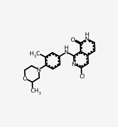 Cc1cc(Nc2nc(Cl)cc3cc[nH]c(=O)c23)ccc1N1CCOC(C)C1